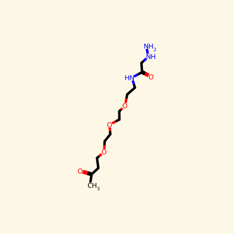 CC(=O)CCOCCOCCOCCNC(=O)CNN